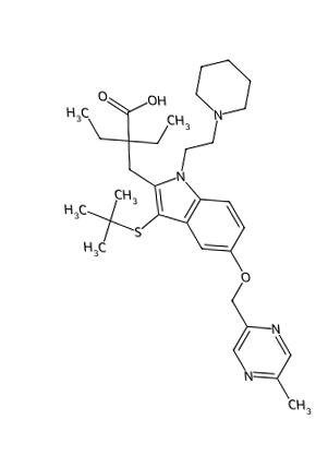 CCC(CC)(Cc1c(SC(C)(C)C)c2cc(OCc3cnc(C)cn3)ccc2n1CCN1CCCCC1)C(=O)O